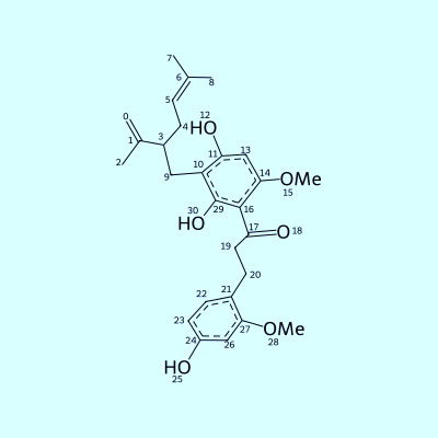 C=C(C)C(CC=C(C)C)Cc1c(O)cc(OC)c(C(=O)CCc2ccc(O)cc2OC)c1O